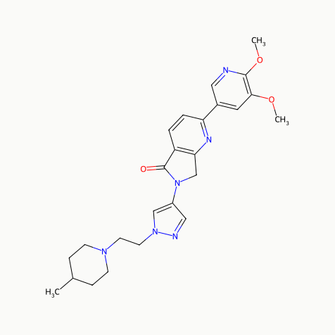 COc1cc(-c2ccc3c(n2)CN(c2cnn(CCN4CCC(C)CC4)c2)C3=O)cnc1OC